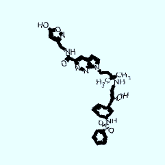 CC(C)(CCn1ccc2cc(C(=O)NCc3cc(O)on3)nnc21)NC[C@H](O)c1cccc(NS(=O)(=O)c2ccccc2)c1